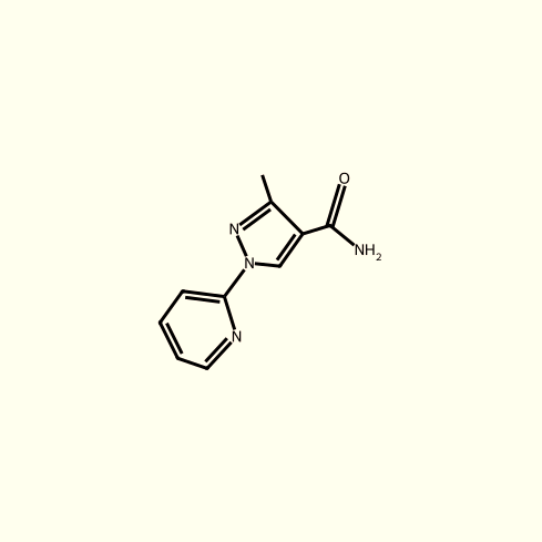 Cc1nn(-c2ccccn2)cc1C(N)=O